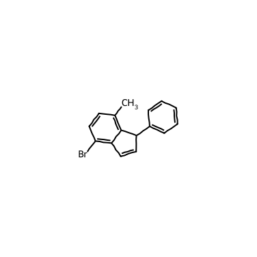 Cc1ccc(Br)c2c1C(c1ccccc1)C=C2